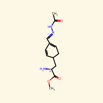 COC(=O)[C@@H](N)CC1C=CC(/C=N/NC(C)=O)=CC1